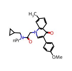 CCCN(CC1CC1)C(=O)Cn1cc(-c2ccc(OC)cc2)c(=O)c2ccc(C)cc21